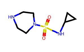 O=S(=O)(NC1CC1)N1CCNCC1